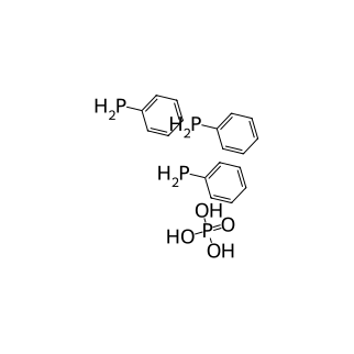 O=P(O)(O)O.Pc1ccccc1.Pc1ccccc1.Pc1ccccc1